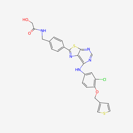 O=C(CO)NCc1ccc(-c2nc3c(Nc4ccc(OCc5ccsc5)c(Cl)c4)ncnc3s2)cc1